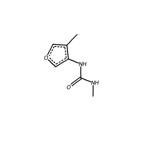 [CH2]c1cocc1NC(=O)NC